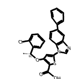 C[C@@H](Oc1cc(-n2cnc3cc(-c4ccccc4)ccc32)sc1C(=O)O)c1ccccc1Cl